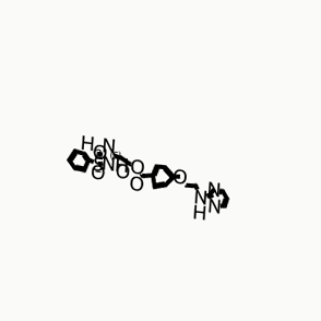 N[C@H](CC(=O)OC(=O)c1ccc(OCCNc2ncccn2)cc1)NS(=O)(=O)c1ccccc1